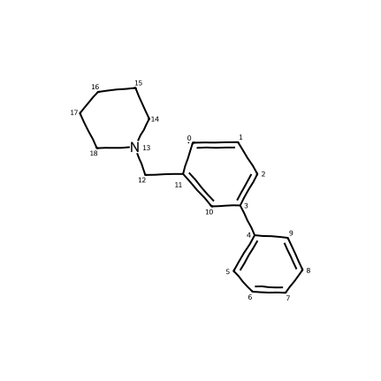 [c]1ccc(-c2ccccc2)cc1CN1CCCCC1